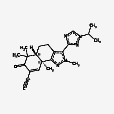 [C-]#[N+]C1=C[C@]2(C)c3nn(C)c(-c4ncn(C(C)C)n4)c3CC[C@H]2C(C)(C)C1=O